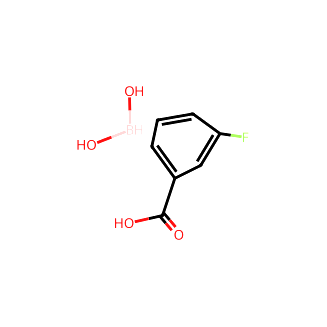 O=C(O)c1cccc(F)c1.OBO